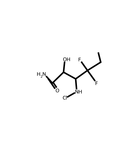 CCC(F)(F)C(NCl)C(O)C(N)=O